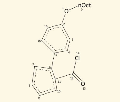 CCCCCCCCOc1ccc(-c2ccccc2C(=O)Cl)cc1